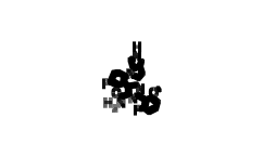 COc1cccc(F)c1-c1ncc(-c2cc(F)ccc2N2CCC3CNCC32)c(C(N)=O)n1